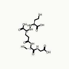 O=C(O)CNC(=O)[C@H](CS)NC(=O)CC[C@H](NN[C@@H](CCS)C(=O)O)C(=O)O